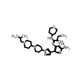 C=C(CC)/C(=N\c1c(-c2cnn(C3CCN(C4CCN(CC(C)C)CC4)CC3)c2)cnc(N)c1C)NC1CCOCC1